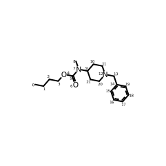 CCCCOC(=O)N(C)C1CCN(Cc2ccccc2)CC1